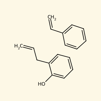 C=CCc1ccccc1O.C=Cc1ccccc1